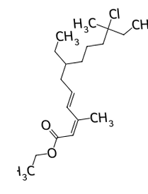 CCOC(=O)C=C(C)C=CCC(CC)CCCC(C)(Cl)CC